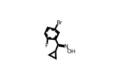 ON=C(c1cc(Br)ccc1F)C1CC1